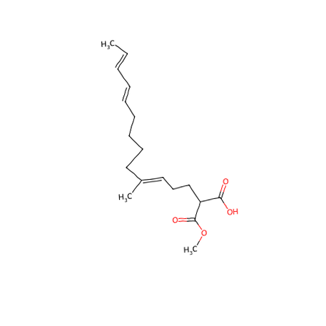 CC=CC=CCCCCC(C)=CCCC(C(=O)O)C(=O)OC